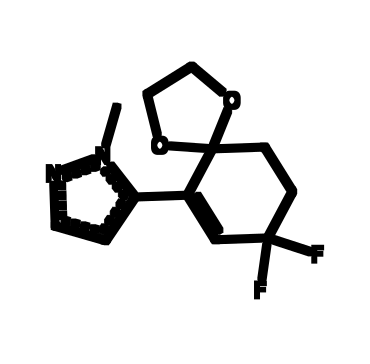 Cn1nccc1C1=CC(F)(F)CCC12OCCO2